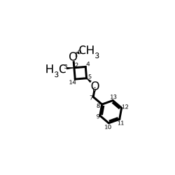 CO[C@]1(C)C[C@@H](OCc2ccccc2)C1